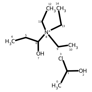 CC(O)Cl.CCC(O)[N+](CC)(CC)CC